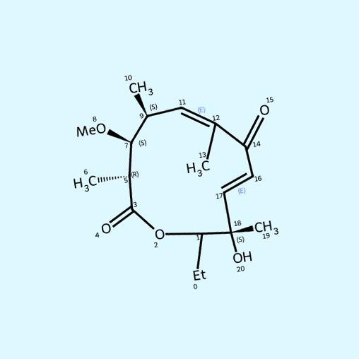 CCC1OC(=O)[C@H](C)[C@@H](OC)[C@@H](C)/C=C(\C)C(=O)/C=C/[C@]1(C)O